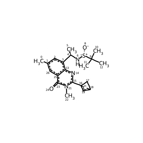 Cc1cc([C@@H](C)N[S@+]([O-])C(C)(C)C)c2nc(C34CC(C3)C4)n(C)c(=O)c2c1